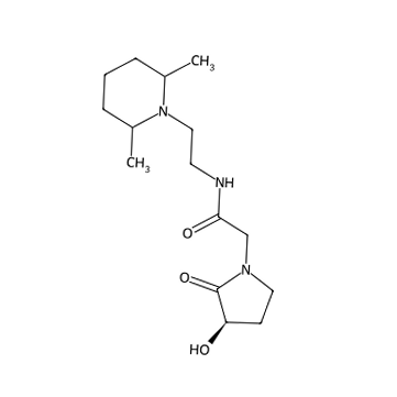 CC1CCCC(C)N1CCNC(=O)CN1CC[C@@H](O)C1=O